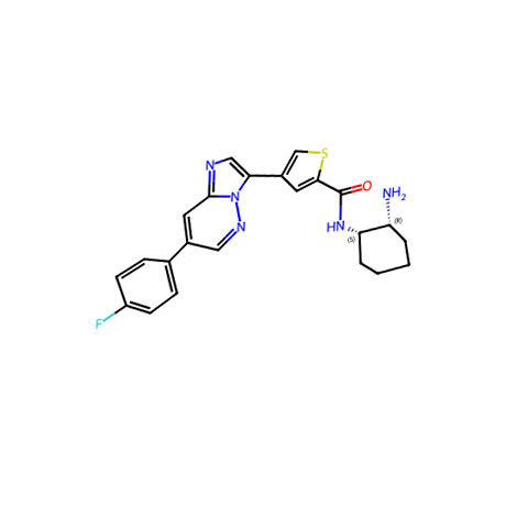 N[C@@H]1CCCC[C@@H]1NC(=O)c1cc(-c2cnc3cc(-c4ccc(F)cc4)cnn23)cs1